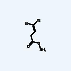 CCC(=CCC(=O)O[SiH3])CC